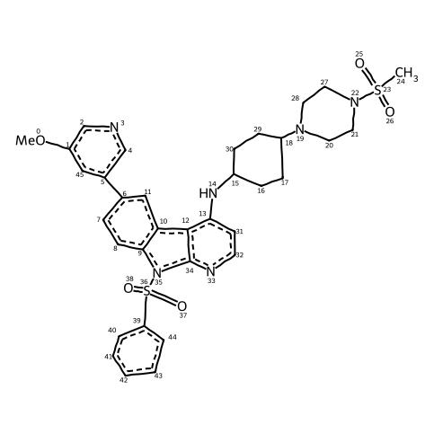 COc1cncc(-c2ccc3c(c2)c2c(NC4CCC(N5CCN(S(C)(=O)=O)CC5)CC4)ccnc2n3S(=O)(=O)c2ccccc2)c1